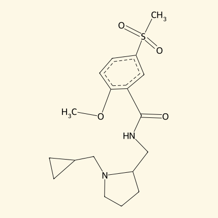 COc1ccc(S(C)(=O)=O)cc1C(=O)NCC1CCCN1CC1CC1